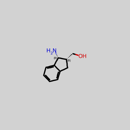 N[C@H]1c2ccccc2C[C@H]1CO